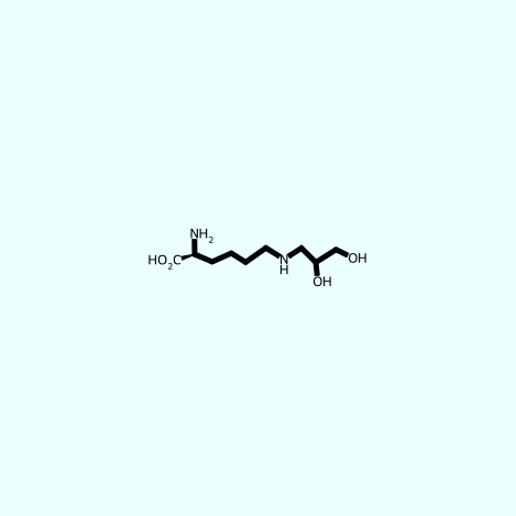 N[C@@H](CCCCNCC(O)CO)C(=O)O